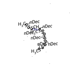 CCCCCCCCCCCCC(/C=C(\C)c1cc(CCCCCCCCCCCC)c(-c2ccc(-c3ccc(-c4sc(-c5cc(CCCCCCCCCCCC)c(-c6ccc(-c7ccc(-c8sc(C)cc8CCCCCCCCCCCC)s7)s6)s5)cc4CCCCCCCCCCCC)s3)s2)s1)=C(/C)c1ccc(-c2ccc(-c3sc(C)cc3CCCCCCCCCCCC)s2)s1